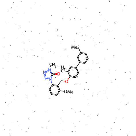 COc1cccc(-n2nnn(C)c2=O)c1COc1ccc(-c2cccc(SC)c2)cc1C